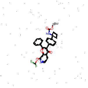 CC(C)(C)OC(=O)NC1(c2ccc(-c3c(-c4ccccc4)oc4c(OC(F)F)nccc4c3=O)cc2)CCC1